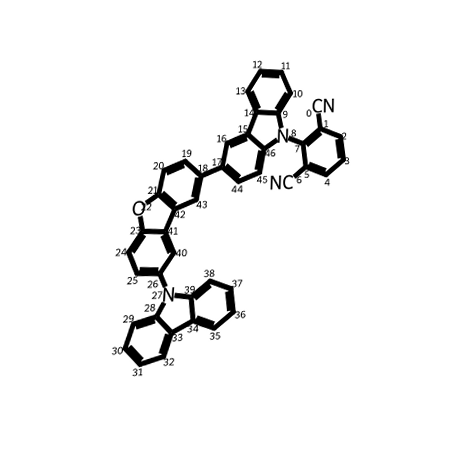 N#Cc1cccc(C#N)c1-n1c2ccccc2c2cc(-c3ccc4oc5ccc(-n6c7ccccc7c7ccccc76)cc5c4c3)ccc21